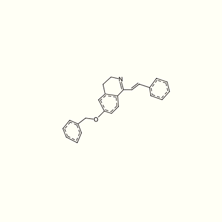 C(=Cc1ccccc1)C1=NCCc2cc(OCc3ccccc3)ccc21